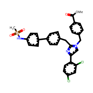 COC(=O)c1ccc(Cn2cc(-c3ccc(Cl)cc3Cl)nc2Cc2ccc(-c3ccc(NS(C)(=O)=O)cc3)cc2)cc1